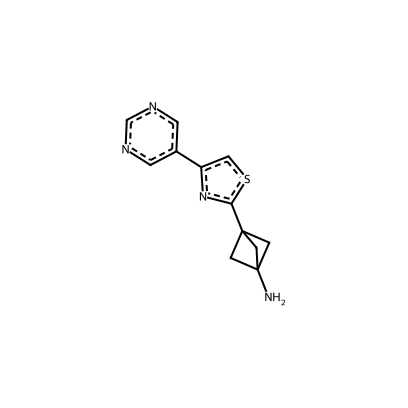 NC12CC(c3nc(-c4cncnc4)cs3)(C1)C2